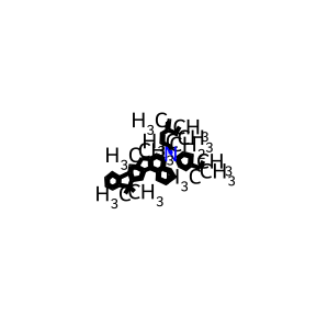 C=C(/C=C\C(=C/C)C(C)(C)C)N(c1ccc(C(C)(C)C)cc1)c1cc2c(c3ccccc13)-c1cc3c(cc1C2(C)C)-c1ccccc1C3(C)C